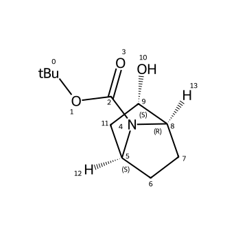 CC(C)(C)OC(=O)N1[C@H]2CC[C@@H]1[C@@H](O)C2